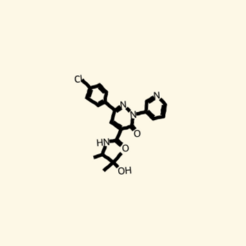 CC(NC(=O)c1cc(-c2ccc(Cl)cc2)nn(-c2cccnc2)c1=O)C(C)(C)O